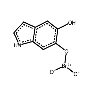 [O-][Br+2]([O-])Oc1cc2[nH]ccc2cc1O